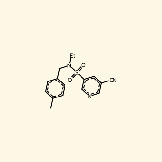 CCN(Cc1ccc(C)cc1)S(=O)(=O)c1cncc(C#N)c1